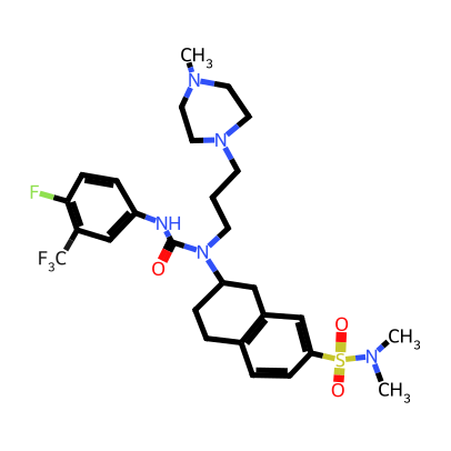 CN1CCN(CCCN(C(=O)Nc2ccc(F)c(C(F)(F)F)c2)C2CCc3ccc(S(=O)(=O)N(C)C)cc3C2)CC1